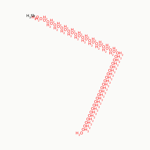 O.O.O.O.O.O.O.O.O.O.O.O.O.O.O.O.O.O.O.O.O.O.O.O.O.O.O.O.O.O.O.O.O.O.O.O.O.O.O.O.O.O.O.O.O.O.O.[SbH3]